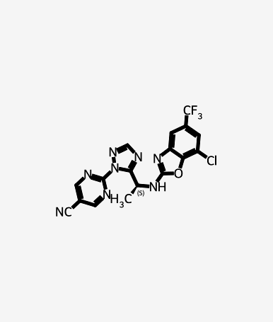 C[C@H](Nc1nc2cc(C(F)(F)F)cc(Cl)c2o1)c1ncnn1-c1ncc(C#N)cn1